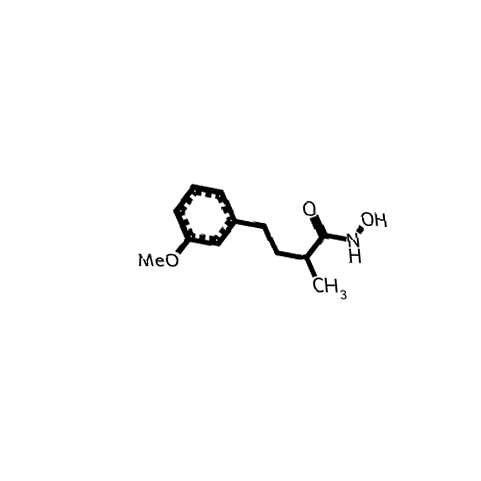 COc1cccc(CCC(C)C(=O)NO)c1